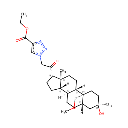 CCOC(=O)c1cn(CC(=O)[C@H]2CC[C@H]3[C@@H]4CC[C@H]5C[C@](C)(O)CC[C@]5(COC)[C@H]4CC[C@]23C)nn1